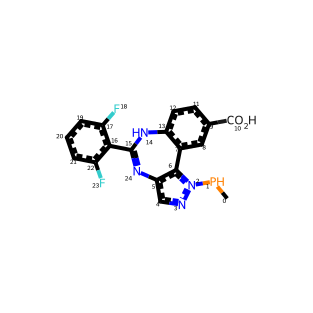 CPn1ncc2c1-c1cc(C(=O)O)ccc1NC(c1c(F)cccc1F)=N2